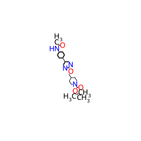 CC(=O)Nc1ccc(-c2cnc(OCC3CCN(C(=O)OC(C)(C)C)CC3)nc2)cc1